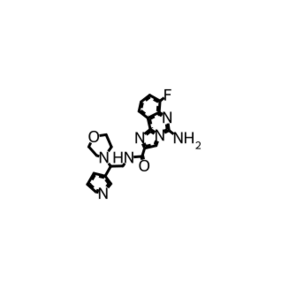 Nc1nc2c(F)cccc2c2nc(C(=O)NCC(c3cccnc3)N3CCOCC3)cn12